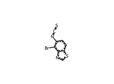 S=C=Nc1ccc2scnc2c1Br